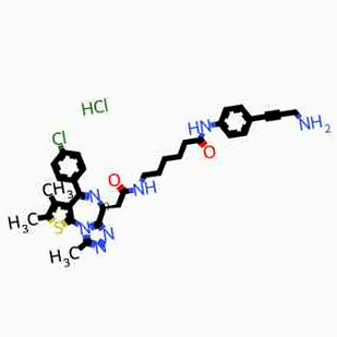 Cc1sc2c(c1C)C(c1ccc(Cl)cc1)=N[C@@H](CC(=O)NCCCCCC(=O)Nc1ccc(C#CCN)cc1)c1nnc(C)n1-2.Cl